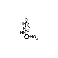 CN1CC(=O)NC1=NC(=O)Nc1cccc([N+](=O)[O-])c1